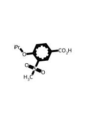 CC(C)Oc1ccc(C(=O)O)cc1S(C)(=O)=O